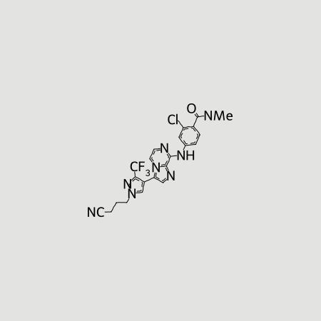 CNC(=O)c1ccc(Nc2nccn3c(-c4cn(CCCC#N)nc4C(F)(F)F)cnc23)cc1Cl